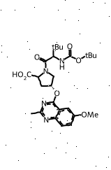 COc1ccc2nc(C)nc(O[C@@H]3CC(C(=O)O)N(C(=O)C(NC(=O)OC(C)(C)C)C(C)(C)C)C3)c2c1